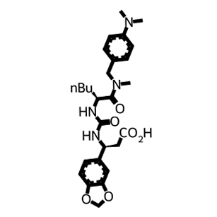 CCCC[C@H](NC(=O)N[C@@H](CC(=O)O)c1ccc2c(c1)OCO2)C(=O)N(C)Cc1ccc(N(C)C)cc1